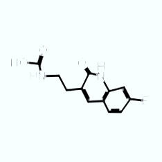 O=C(O)NCCc1cc2ccc(F)cc2[nH]c1=O